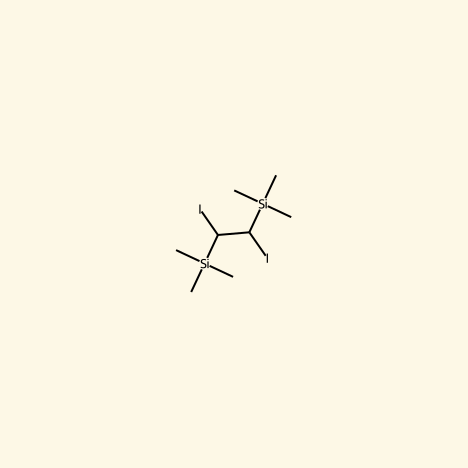 C[Si](C)(C)C(I)C(I)[Si](C)(C)C